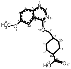 COc1ccc2ncnc(OCC3CCC(C(=O)O)CC3)c2c1